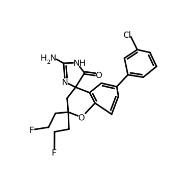 NC1=NC2(CC(CCF)(CCF)Oc3ccc(-c4cccc(Cl)c4)cc32)C(=O)N1